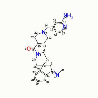 C/N=C1\CC2(CCN(C(=O)C3CCN(Cc4ccnc(N)c4)CC3)CC2)c2ccccc21